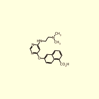 CN(C)CCNc1cc(Oc2ccc3c(C(=O)O)cccc3c2)ncn1